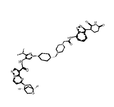 O=C1CCC(c2nsc3c(NC(=O)CN4CCN(C[C@H]5CC[C@H](n6cc(NC(=O)c7cnn8ccc(N9C[C@@H]%10C[C@H]9CO%10)nc78)c(C(F)F)n6)CC5)CC4)cccc23)C(=O)N1